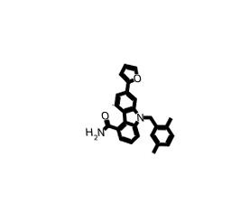 Cc1ccc(C)c(Cn2c3cc(-c4ccco4)c[c]c3c3c(C(N)=O)cccc32)c1